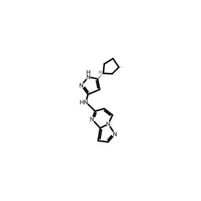 [CH]1CC[C@@H](c2cc(Nc3ccn4nccc4n3)n[nH]2)C1